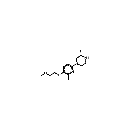 COCCOc1ccc(N2CCN[C@H](C)C2)nc1C